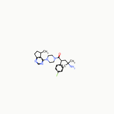 CC1CCc2ncnc(N3CCN(C(=O)C(CC(C)(C)N)c4ccc(F)cc4)CC3)c21